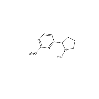 COc1nccc(C2CCCN2C(C)(C)C)n1